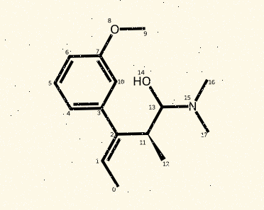 CC=C(c1cccc(OC)c1)[C@H](C)C(O)N(C)C